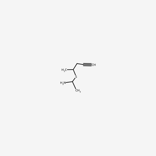 C#CCC(C)SC(C)N